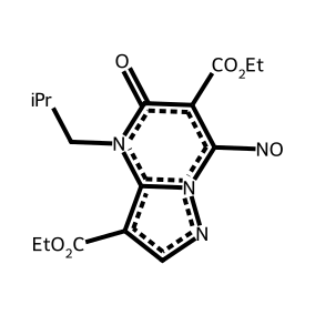 CCOC(=O)c1c(N=O)n2ncc(C(=O)OCC)c2n(CC(C)C)c1=O